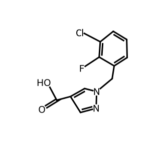 O=C(O)c1cnn(Cc2cccc(Cl)c2F)c1